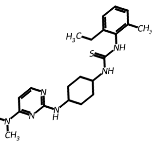 CCc1cccc(C)c1NC(=S)NC1CCC(Nc2nccc(N(C)C)n2)CC1